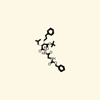 CC(C)C[C@@H](C(=O)NNC(=O)CNC(=O)OCc1ccccc1)[C@H](CCCc1ccccc1)C(=O)OC(C)(C)C